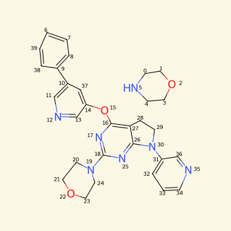 C1COCCN1.c1ccc(-c2cncc(Oc3nc(N4CCOCC4)nc4c3CCN4c3cccnc3)c2)cc1